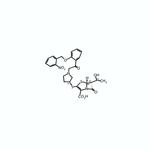 C[C@H](O)[C@@H]1C(=O)N2C(C(=O)O)=C(S[C@H]3CCN(CC(=O)c4ccccc4OCc4ccccc4[N+](=O)[O-])C3)S[C@H]12